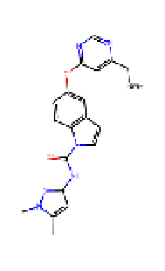 CNCc1cc(Oc2ccc3c(ccn3C(=O)Nc3cc(C)n(C)n3)c2)ncn1